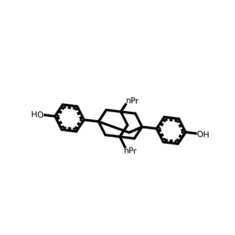 CCCC12CC3(CCC)CC(c4ccc(O)cc4)(C1)CC(c1ccc(O)cc1)(C2)C3